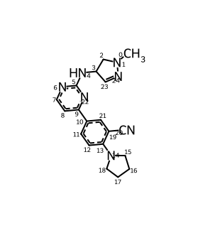 CN1CC(Nc2nccc(-c3ccc(N4CCCC4)c(C#N)c3)n2)C=N1